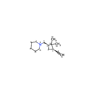 C#C[C@H]1C[C@@H](CN2CCCCC2)C1(C)C